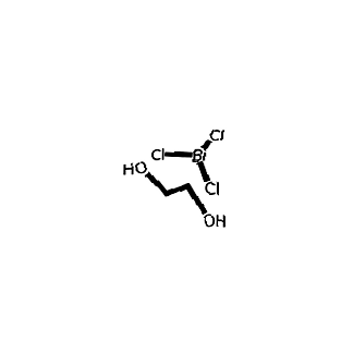 OCCO.[Cl][Bi]([Cl])[Cl]